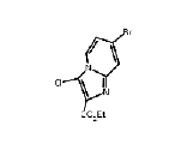 CCOC(=O)c1nc2cc(Br)ccn2c1Cl